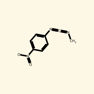 CN=C=Nc1ccc([N+](=O)[O-])cc1